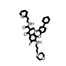 O=C(NCCc1ccccn1)c1cn2c3c(c(NCCCN4CCOCC4)c(F)cc3c1=O)Oc1ccc(-c3ccccc3)cc1-2